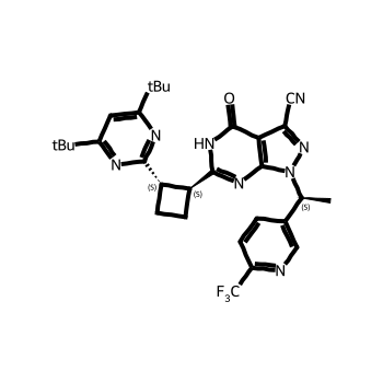 C[C@@H](c1ccc(C(F)(F)F)nc1)n1nc(C#N)c2c(=O)[nH]c([C@H]3CC[C@@H]3c3nc(C(C)(C)C)cc(C(C)(C)C)n3)nc21